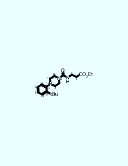 CCOC(=O)CCNC(=O)N1CCN(c2ccccc2C(C)(C)C)CC1